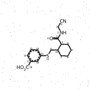 N#CCNC(=O)C1CCCCC1CSc1cccc(C(=O)O)c1